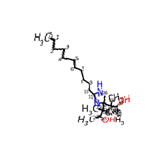 CCCCCCCCCCCC1=NC(C(C)(C)C(C)O)(C(C)(C)C(C)O)CN1